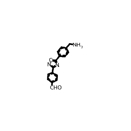 NCc1ccc(-c2nc(-c3ccc(C=O)cc3)no2)cc1